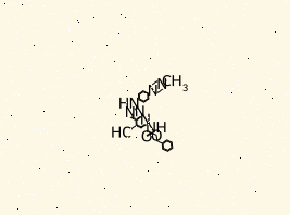 C#Cc1cc(NC(=O)OCc2ccccc2)nc2nc(Nc3ccc(N4CCN(C)CC4)cc3)ncc12